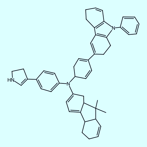 CC1(C)C2CC(N(c3ccc(C4=CNCC4)cc3)C3C=CC(C4=Cc5c6c(n(-c7ccccc7)c5CC4)C=CCC6)=CC3)=CC=C2C2CCC=CC21